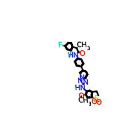 COc1cc2c(cc1Nc1nc3ccc(-c4ccc(NC(=O)[C@H](C)c5ccc(F)cc5F)cc4)cn3n1)CCS2(=O)=O